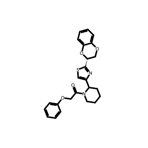 O=C(COc1ccccc1)N1CCCCC1c1csc([C@H]2COc3ccccc3O2)n1